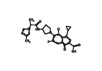 Cc1cn(C(C)C(=O)NC2CCN(c3c(F)cc4c(=O)c(C(=O)O)cn(C5CC5)c4c3Cl)C2)cn1